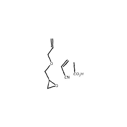 C=CC#N.C=CCOCC1CO1.CC(=O)O